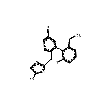 NCc1cccc(Cl)c1-c1cc(F)ccc1Cc1nc(S)cs1